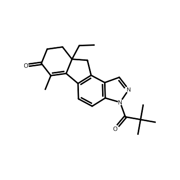 CCC12CCC(=O)C(C)=C1c1ccc3c(cnn3C(=O)C(C)(C)C)c1C2